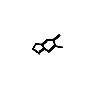 C=c1cc2c(cc1C)=NCC2